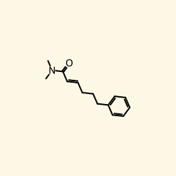 CN(C)C(=O)C=CCCCc1ccccc1